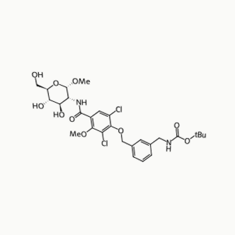 COc1c(C(=O)N[C@H]2[C@@H](OC)O[C@H](CO)[C@@H](O)[C@@H]2O)cc(Cl)c(OCc2cccc(CNC(=O)OC(C)(C)C)c2)c1Cl